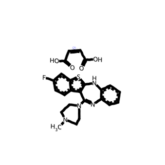 CN1CCN(C2=Nc3ccccc3Nc3sc4cc(F)ccc4c32)CC1.O=C(O)/C=C\C(=O)O